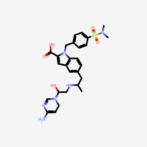 CC(Cc1ccc2c(c1)cc(C(=O)O)n2Cc1ccc(S(=O)(=O)N(C)C)cc1)NCC(O)N1C=NC(N)=CC1